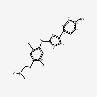 CCN(C)CCc1cc(C)c(Oc2nc(-c3ccc(C(C)(C)C)nc3)ns2)cc1C